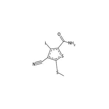 CSc1sc(C(N)=O)c(I)c1C#N